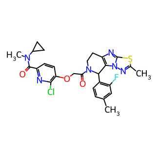 Cc1ccc(C2c3c(nc4sc(C)nn34)CCN2C(=O)COc2ccc(C(=O)N(C)C3CC3)nc2Cl)c(F)c1